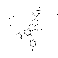 COC(=O)c1cnc(NC2CCN(C(=O)OC(C)(C)C)CC2C)c(Cc2ccc(F)cc2)c1